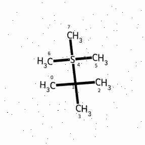 CC(C)(C)S(C)(C)C